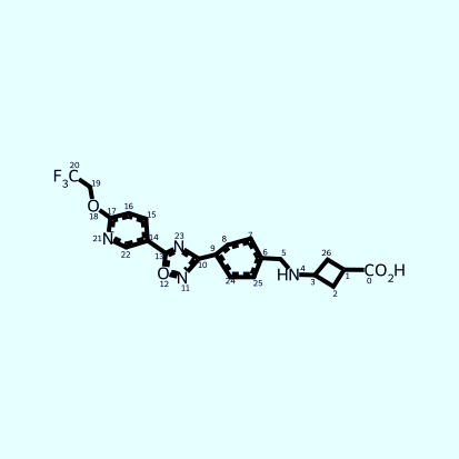 O=C(O)C1CC(NCc2ccc(-c3noc(-c4ccc(OCC(F)(F)F)nc4)n3)cc2)C1